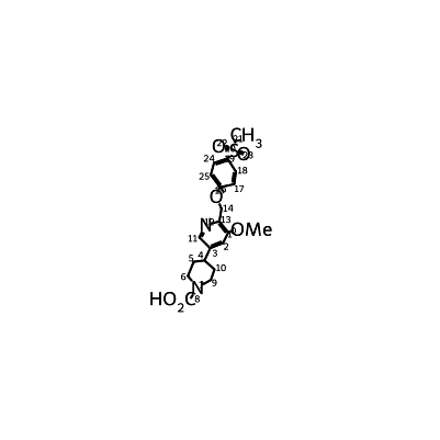 COc1cc(C2CCN(C(=O)O)CC2)cnc1COc1ccc(S(C)(=O)=O)cc1